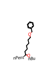 CCCCCC(CCCCCCOCc1ccccc1)OCCCC